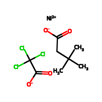 CC(C)(C)CC(=O)[O-].O=C([O-])C(Cl)(Cl)Cl.[Ni+2]